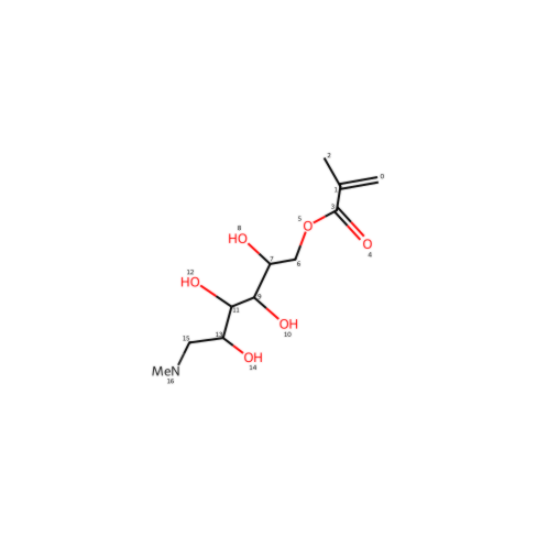 C=C(C)C(=O)OCC(O)C(O)C(O)C(O)CNC